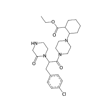 CCOC(=O)C1CCCCC1N1CCN(C(=O)C(Cc2ccc(Cl)cc2)N2CCNCC2=O)CC1